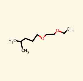 CCOCCOCCCC(C)C